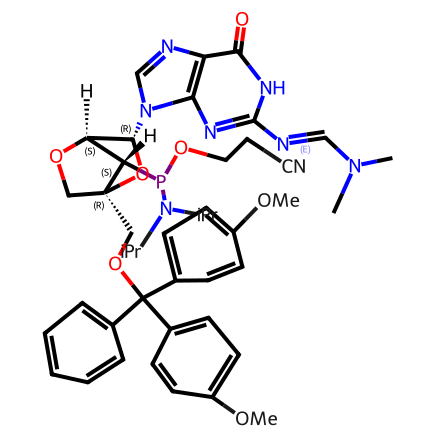 COc1ccc(C(OC[C@@]23CO[C@@H]([C@H](n4cnc5c(=O)[nH]c(/N=C/N(C)C)nc54)O2)[C@@H]3P(OCCC#N)N(C(C)C)C(C)C)(c2ccccc2)c2ccc(OC)cc2)cc1